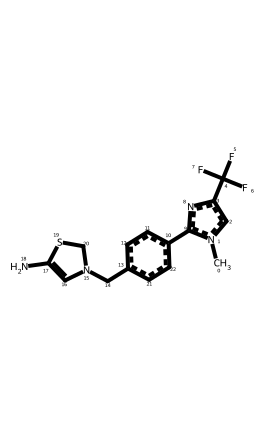 Cn1cc(C(F)(F)F)nc1-c1ccc(CN2C=C(N)SC2)cc1